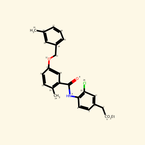 CCOC(=O)Cc1ccc(NC(=O)c2cc(OCc3cccc(C)c3)ccc2C)c(Cl)c1